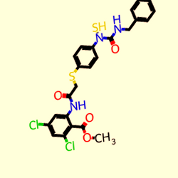 COC(=O)c1c(Cl)cc(Cl)cc1NC(=O)CSc1ccc(N(S)C(=O)NCc2ccccc2)cc1